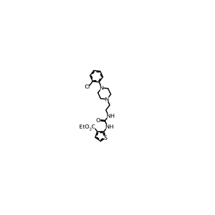 CCOC(=O)c1ccsc1NC(=O)NCCN1CCN(c2ccccc2Cl)CC1